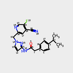 CC(C)c1ccc(CC(=O)Nc2ccn(Cc3cc(C#N)c(F)cn3)n2)cc1